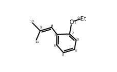 CCOc1ccccc1C=C(C)C